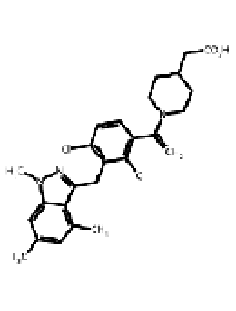 C=C(c1ccc(Cl)c(Cc2nn(C)c3cc(C(F)(F)F)cc(C)c23)c1Cl)N1CCC(CC(=O)O)CC1